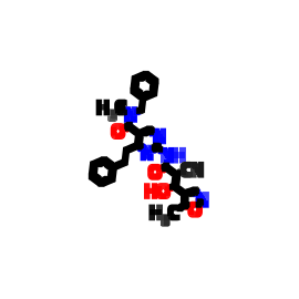 Cc1oncc1/C(O)=C(\C#N)C(=O)Nc1ncc(C(=O)N(C)Cc2ccccc2)c(CCc2ccccc2)n1